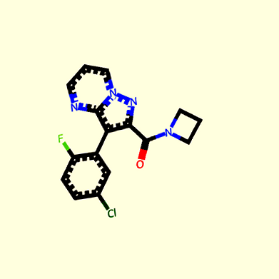 O=C(c1nn2cccnc2c1-c1cc(Cl)ccc1F)N1CCC1